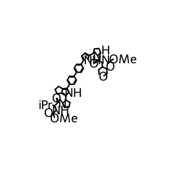 COC(=O)NC(C(=O)N1CCCC1c1[nH]c(-c2ccc(-c3ccc(-c4ccc(C5CCCN5C(=O)C(NC(=O)OC)C5CCOCC5)[nH]4)cc3)cc2)c2c1CCC2)C(C)C